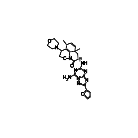 CC1C=CC2(C)C[C@H](Nc3nc(N)n4nc(-c5ccco5)nc4n3)C(=O)N3CCC(N4CCOCC4)C1=C32